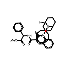 COC(=O)C(NC(=O)c1nc2ccccc2n(C2CC3CCC[C@@H](C2)N3C2CCCCCCC2)c1=O)c1ccccc1